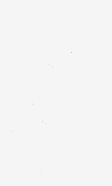 O=C(CCn1cnc2c([nH]c3ccc(Br)cc32)c1=O)N1CCN(c2cccc(C(F)(F)F)c2)CC1